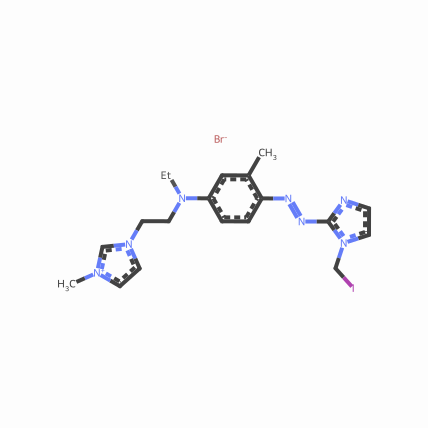 CCN(CCn1cc[n+](C)c1)c1ccc(N=Nc2nccn2CI)c(C)c1.[Br-]